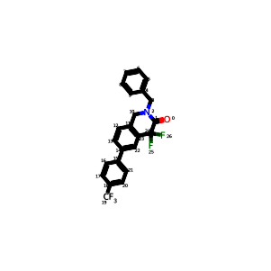 O=C1N(Cc2ccccc2)Cc2ccc(-c3ccc(C(F)(F)F)cc3)cc2C1(F)F